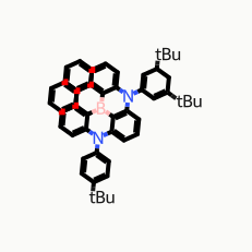 CC(C)(C)C1=CC(N2c3cccc(-c4ccccc4)c3B3c4c(-c5ccccc5)cccc4N(c4ccc(C(C)(C)C)cc4)c4cccc2c43)=CC(C(C)(C)C)C1